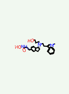 Cn1cc(CCN(CCCO)[C@H]2CCc3cc(/C=C/C(=O)NO)ccc32)c2ccccc21